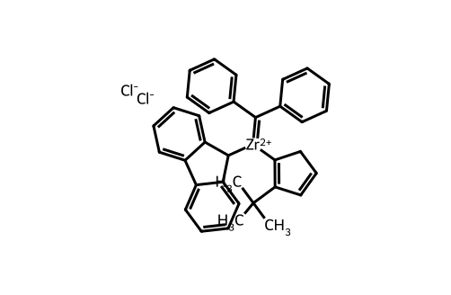 CC(C)(C)C1=[C]([Zr+2](=[C](c2ccccc2)c2ccccc2)[CH]2c3ccccc3-c3ccccc32)CC=C1.[Cl-].[Cl-]